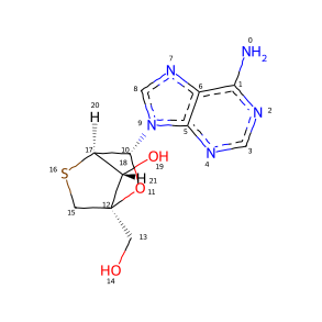 Nc1ncnc2c1ncn2[C@@H]1O[C@@]2(CO)CS[C@@H]1[C@@H]2O